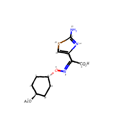 CC(=O)O[C@H]1CC[C@H](ON=C(C(=O)O)c2csc(N)n2)CC1